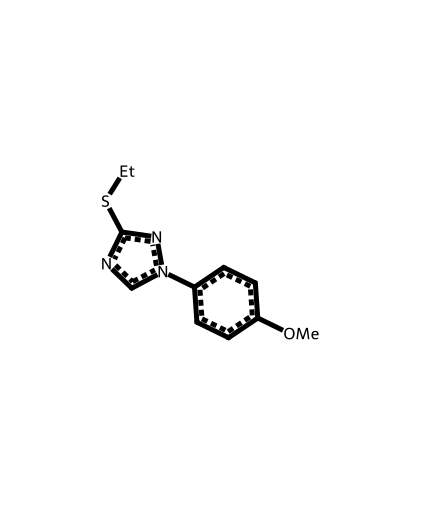 CCSc1ncn(-c2ccc(OC)cc2)n1